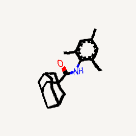 Cc1cc(C)c(NC(=O)C23CC4CC(CC(C4)C2)C3)c(C)c1